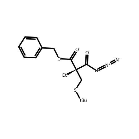 CC[C@](CSC(C)(C)C)(C(=O)N=[N+]=[N-])C(=O)OCc1ccccc1